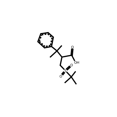 CC(C)(c1ccccc1)C(CS(=O)(=O)C(C)(C)C)C(=O)O